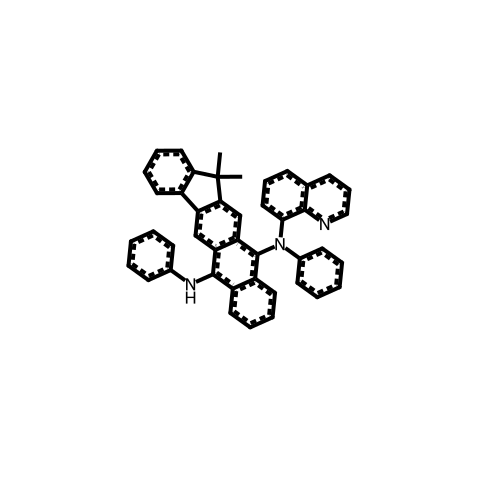 CC1(C)c2ccccc2-c2cc3c(Nc4ccccc4)c4ccccc4c(N(c4ccccc4)c4cccc5cccnc45)c3cc21